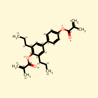 C=C(C)C(=O)Oc1ccc(-c2cc(CCC)c(OC(=O)C(=C)C)c(CCC)c2)cc1